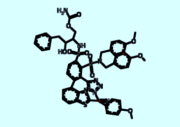 COc1ccc(CN(Cc2ccc(OC)cc2)S(=O)(=O)c2c(S(=O)(=O)NC(COC(N)=O)C(O)Cc3ccccc3)ccc(-c3cccc4sc(C#N)nc34)c2-c2nnn(Cc3ccc(OC)cc3)n2)cc1